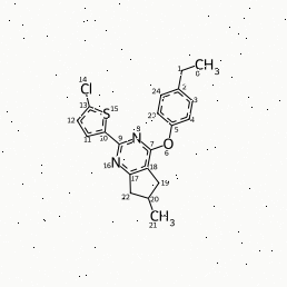 CCc1ccc(Oc2nc(-c3ccc(Cl)s3)nc3c2CC(C)C3)cc1